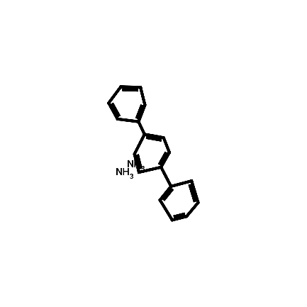 N.N.c1ccc(-c2ccc(-c3ccccc3)cc2)cc1